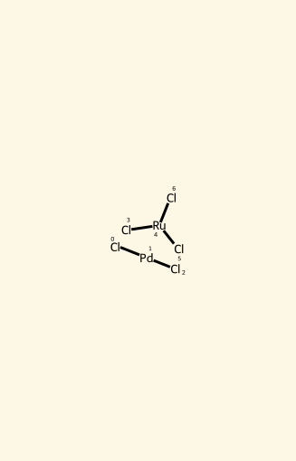 [Cl][Pd][Cl].[Cl][Ru]([Cl])[Cl]